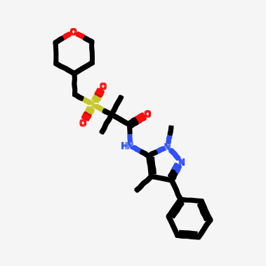 Cc1c(-c2ccccc2)nn(C)c1NC(=O)C(C)(C)S(=O)(=O)CC1CCOCC1